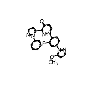 COc1ccnn1-c1ccc(-n2ccc(=O)c(-c3ccnn3-c3ccccc3)n2)c(F)c1